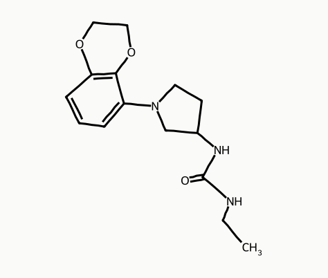 CCNC(=O)NC1CCN(c2cccc3c2OCCO3)C1